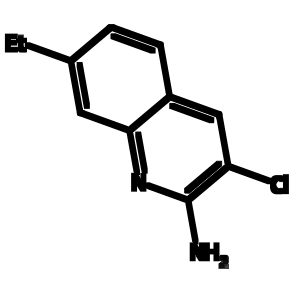 [CH2]Cc1ccc2cc(Cl)c(N)nc2c1